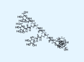 CCCC1C(CNC(=S)NCCN(CCNC(=S)NCCN(CCNC(=S)N[C@H]2OC(CO)[C@@H](O)[C@H](O)C2O)CCNC(=S)N[C@H]2OC(CO)[C@@H](O)[C@H](O)C2O)CCNC(=S)NCC2O[C@@H]3OC4C(CO)O[C@H](OCCCCC2[C@@H](O)C3O)C(O)[C@@H]4O)O[C@H](O)C(O)[C@@H]1O